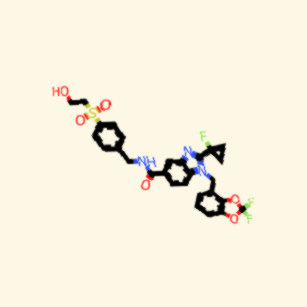 O=C(NCc1ccc(S(=O)(=O)CCO)cc1)c1ccc2c(c1)nc(C1(F)CC1)n2Cc1cccc2c1OC(F)(F)O2